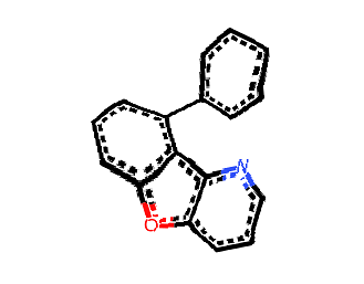 c1ccc(-c2cccc3oc4cccnc4c23)cc1